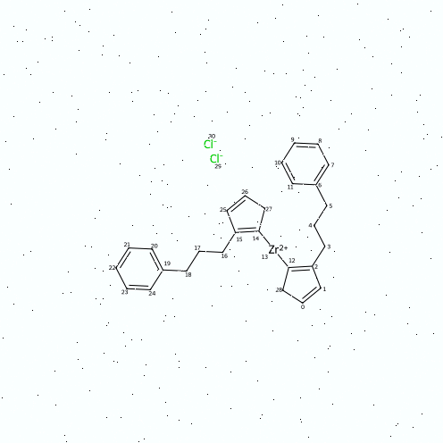 C1=CC(CCCc2ccccc2)=[C]([Zr+2][C]2=C(CCCc3ccccc3)C=CC2)C1.[Cl-].[Cl-]